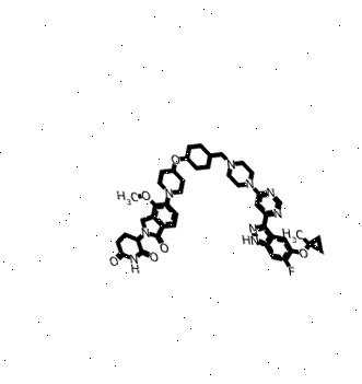 COc1c(N2CCC(OC3CCC(CN4CCN(c5cc(-c6n[nH]c7cc(F)c(OC8(C)CC8)cc67)ncn5)CC4)CC3)CC2)ccc2c1CN(C1CCC(=O)NC1=O)C2=O